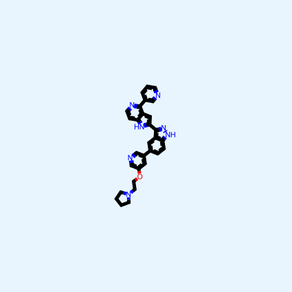 c1cncc(-c2nccc3[nH]c(-c4n[nH]c5ccc(-c6cncc(OCCN7CCCC7)c6)cc45)cc23)c1